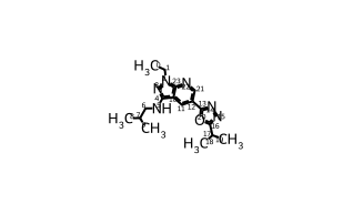 CCn1nc(NCC(C)C)c2cc(-c3nnc(C(C)C)o3)cnc21